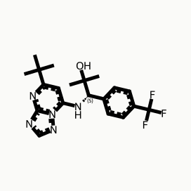 CC(C)(C)c1cc(N[C@@H](c2ccc(C(F)(F)F)cc2)C(C)(C)O)n2ncnc2n1